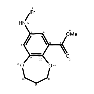 COC(=O)c1cc(NC(C)C)cc2c1OCCCO2